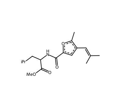 COC(=O)C(CC(C)C)NC(=O)c1cc(C=C(C)C)c(C)o1